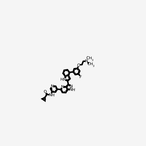 CN(C)CCOc1cc(F)cc(-c2cccc3[nH]c(-c4n[nH]c5ccc(-c6cncc(NC(=O)C7CC7)c6)nc45)cc23)c1